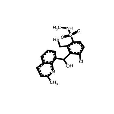 CNS(=O)(=O)c1ccc(Cl)c(C(O)c2cccc3ccc(C)nc23)c1CS